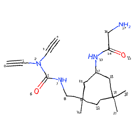 C#CN(C#C)C(=O)NCC1(C)CC(NC(=O)CN)CC(C)(C)C1